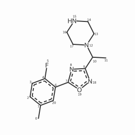 Cc1ccc(F)c(-c2nc(C(C)N3CCNCC3)no2)c1